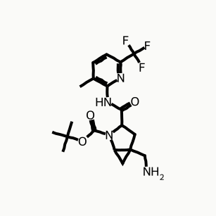 Cc1ccc(C(F)(F)F)nc1NC(=O)C1CC2(CN)CC2N1C(=O)OC(C)(C)C